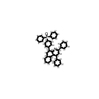 O=P(c1ccccc1)(c1ccccc1)c1ccc(-c2cc3ccccc3c3c(-c4ccccc4)cc(-c4ccccc4)nc23)cc1